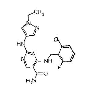 CCn1cc(Nc2ncc(C(N)=O)c(NCc3c(F)cccc3Cl)n2)cn1